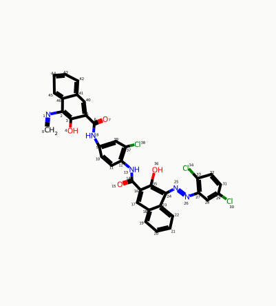 C=Nc1c(O)c(C(=O)Nc2ccc(NC(=O)c3cc4ccccc4c(/N=N/c4cc(Cl)ccc4Cl)c3O)c(Cl)c2)cc2ccccc12